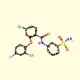 NS(=O)(=O)c1cccc(NC(=O)c2ccc(Cl)cc2Oc2ccc(F)cc2Cl)c1